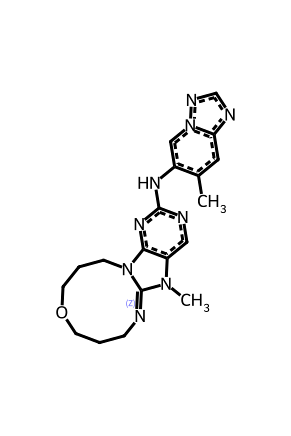 Cc1cc2ncnn2cc1Nc1ncc2c(n1)N1CCCOCCC/N=C\1N2C